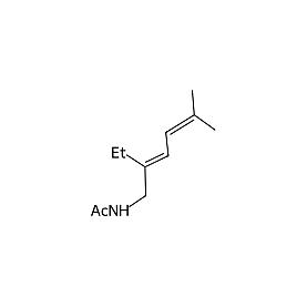 CC/C(=C\C=C(C)C)CNC(C)=O